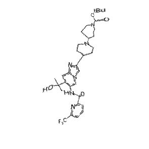 CC(C)(C)OC(=O)N1CCC(N2CCC(c3cn4cc(NC(=O)c5cccc(C(F)(F)F)n5)c(C(C)(C)O)cc4n3)CC2)CC1